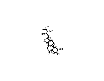 CC(C)[C@@H](C)[C@@H](O)[C@H](O)CC1CCC2C3COC(=O)[C@H]4C[C@H](O)[C@H](O)CC4(C)C3CCC12C